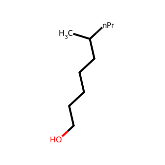 CCCC(C)CCCCCO